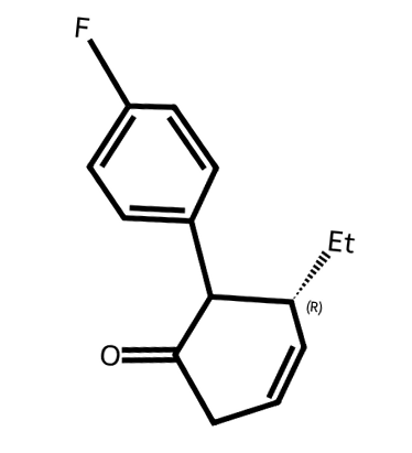 CC[C@@H]1C=CCC(=O)C1c1ccc(F)cc1